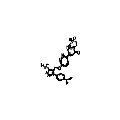 Cc1nnn(-c2ccc(C(F)F)cc2)c1COc1ccc(N2CC(=O)N3CCS(=O)(=O)C[C@@H]3C2)nn1